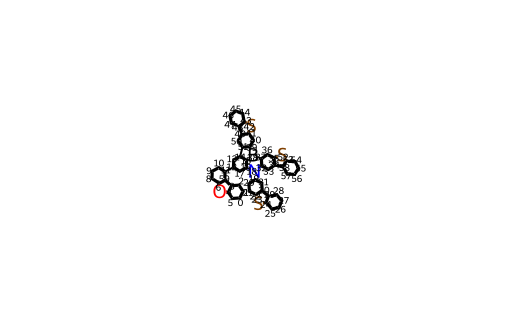 c1ccc2c(c1)oc1cccc(-c3cc4c5c(c3)N(c3ccc6sc7ccccc7c6c3)c3cc6c(cc3B5c3cc5sc7ccccc7c5cc3-4)sc3ccccc36)c12